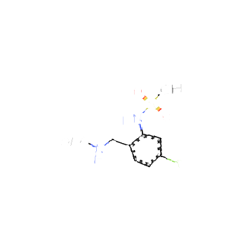 CS(=O)(=O)Nc1cc(F)ccc1CNC=O